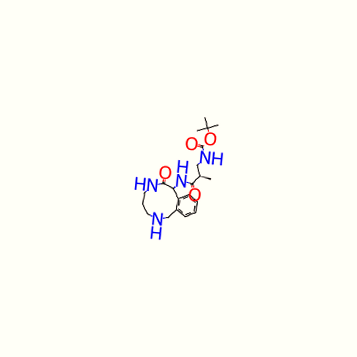 C[C@H](CNC(=O)OC(C)(C)C)C(=O)N[C@@H]1C(=O)NCCCNCc2ccccc21